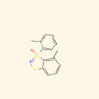 Cc1ccccc1S1(=O)=NSc2cccc(C)c21